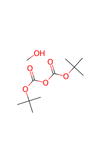 CC(C)(C)OC(=O)OC(=O)OC(C)(C)C.CO